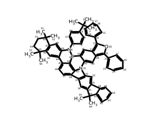 CC(C)(C)c1ccc(N2B3c4cc5c(-c6ccccc6)oc(-c6ccccc6)c5cc4-n4c5cc6c(cc5c5ccc(c3c54)-c3cc4c(cc32)C(C)(C)CCC4(C)C)C(C)(C)c2ccccc2-6)cc1